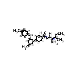 CC/C(C)=C(/N)N/N=C(\C)N1CCC(N2C[C@H](C)C[C@@H]2Cc2ccc(C)cc2)CC1